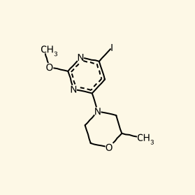 COc1nc(I)cc(N2CCOC(C)C2)n1